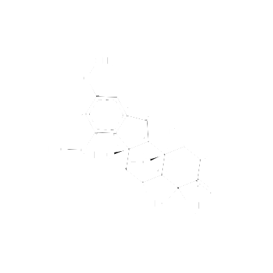 COc1cc2c(c(OC)c1)[C@@]1(C)CC[C@@H]3C(C)(C)C(=O)CC[C@@]3(C)[C@@H]1C2